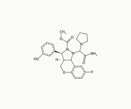 COC(=O)N1[C@H](c2cccc(O)c2)[C@@H]2COc3ccc(F)cc3C2N1C(C(N)=O)N1CCCC1